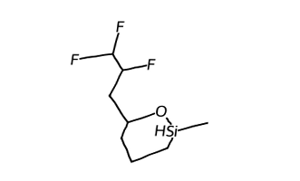 C[SiH]1CCCC(CC(F)C(F)F)O1